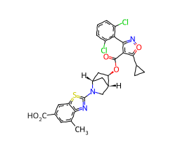 Cc1cc(C(=O)O)cc2sc(N3C[C@@H]4C[C@H]3C[C@H]4OC(=O)c3c(-c4c(Cl)cccc4Cl)noc3C3CC3)nc12